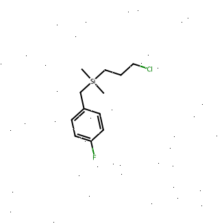 C[Si](C)(CCCCl)Cc1ccc(F)cc1